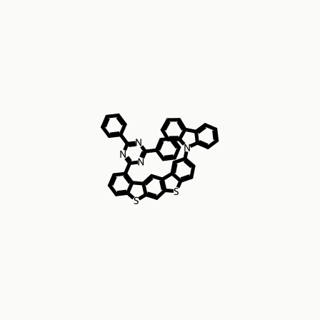 c1ccc(-c2nc(-c3ccccc3)nc(-c3cccc4sc5cc6sc7ccc(-n8c9ccccc9c9ccccc98)cc7c6cc5c34)n2)cc1